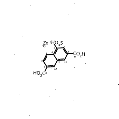 O=C(O)c1ccc2c(S(=O)(=O)O)cc(C(=O)O)cc2c1.[Zn]